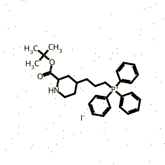 CC(C)(C)OC(=O)C1CC(CCC[P+](c2ccccc2)(c2ccccc2)c2ccccc2)CCN1.[I-]